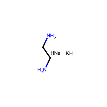 NCCN.[KH].[NaH]